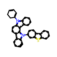 c1ccc2c3ccc4c(c5ccccc5n4C4=CC=CCC4)c3n(-c3ccc4c(c3)sc3ccccc34)c2c#1